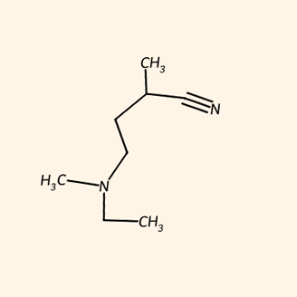 CCN(C)CCC(C)C#N